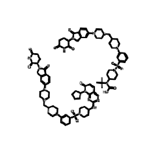 CC(C)(C)N(C(=O)O)C1CCN(S(=O)(=O)c2cccc(N3CCC(CN4CCN(c5ccc6c(c5)CN(C5CCC(=O)NC5=O)C6=O)CC4)CC3)c2)CC1.O=C1CCC(N2Cc3cc(N4CCN(CC5CCN(c6cccc(S(=O)(=O)N7CCC(Nc8ncc9ccc(=O)n(C%10CCCC%10)c9n8)CC7)c6)CC5)CC4)ccc3C2=O)C(=O)N1